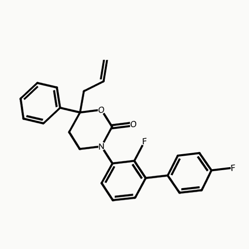 C=CCC1(c2ccccc2)CCN(c2cccc(-c3ccc(F)cc3)c2F)C(=O)O1